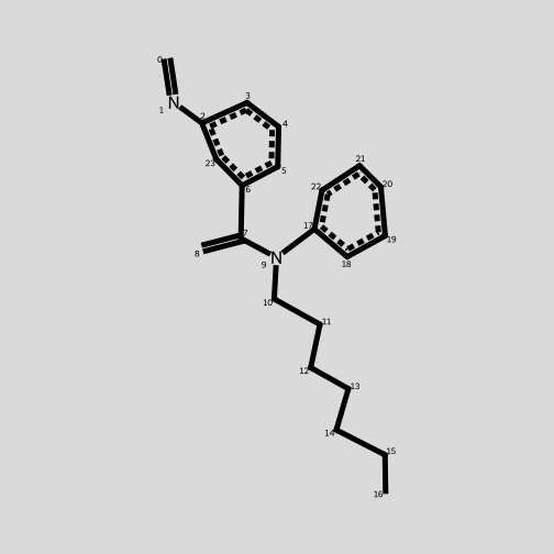 C=Nc1cccc(C(=C)N(CCCCCCC)c2ccccc2)c1